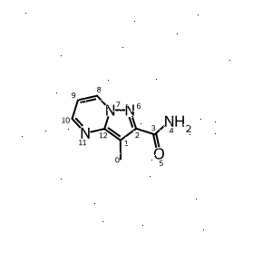 Cc1c(C(N)=O)nn2cccnc12